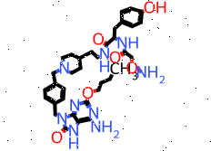 CCCCOc1nc(N)c2[nH]c(=O)n(Cc3ccc(CN4CCC(CCNC(=O)C(Cc5ccc(O)cc5)NC(=O)CON)CC4)cc3)c2n1